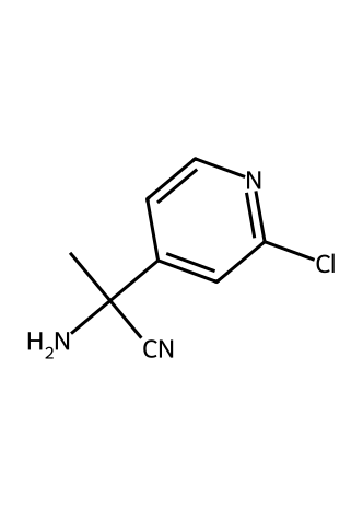 CC(N)(C#N)c1ccnc(Cl)c1